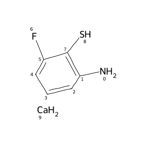 Nc1cccc(F)c1S.[CaH2]